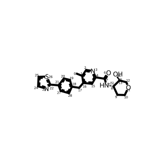 Cc1cnc(C(=O)N[C@H]2CCOC[C@@H]2O)cc1Cc1ccc(-c2nccs2)cc1